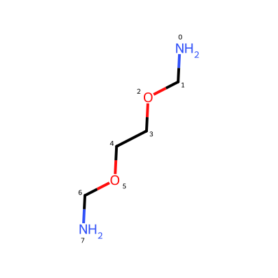 NCOCCOCN